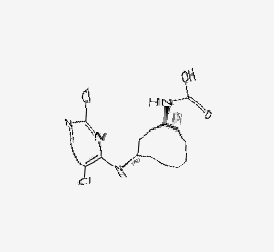 O=C(O)N[C@H]1CCC[C@@H](Nc2nc(Cl)ncc2Cl)C1